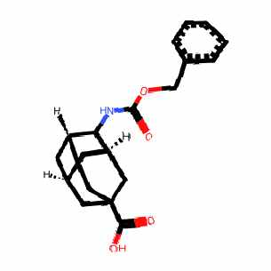 O=C(NC1[C@@H]2C[C@@H]3C[C@H]1CC(C(=O)O)(C3)C2)OCc1ccccc1